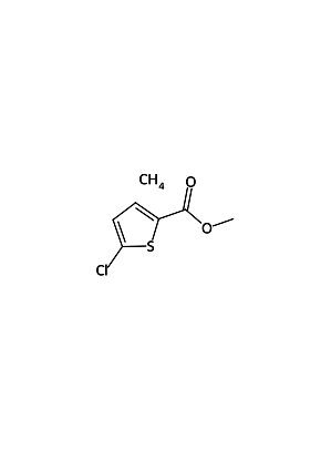 C.COC(=O)c1ccc(Cl)s1